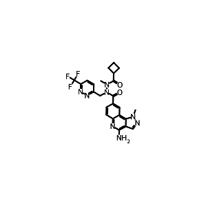 CN(C(=O)C1CCC1)N(Cc1ccc(C(F)(F)F)nn1)C(=O)c1ccc2nc(N)c3cnn(C)c3c2c1